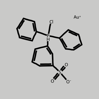 O=S(=O)([O-])c1cccc([PH](Cl)(c2ccccc2)c2ccccc2)c1.[Au+]